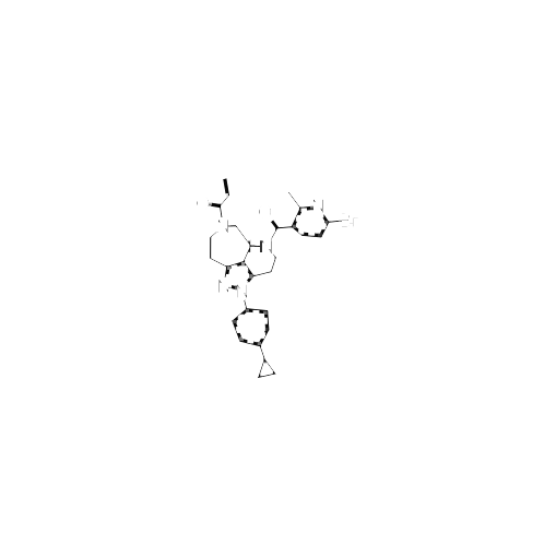 C=CC(=O)N1CCc2nn(-c3ccc(C4CC4)cc3)c3c2[C@H](C1)N(C(=O)c1ccc(Br)nc1C)CC3